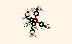 C[SiH](C)[Zr]([Cl])([Cl])([CH]1C(CC2(C)COC(C)(C)OC2)=Cc2c(-c3ccc(C(C)(C)C)cc3)cccc21)[CH]1C(CC2(C)COC(C)(C)OC2)=Cc2c(-c3ccc(C(C)(C)C)cc3)cccc21